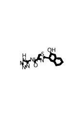 O=C(Nc1nnn[nH]1)c1csc(-c2cc3ccccc3cc2O)n1